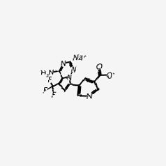 Nc1ncnn2c(-c3cncc(C(=O)[O-])c3)cc(C(F)(F)F)c12.[Na+]